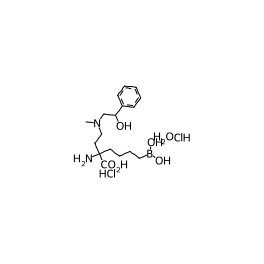 CN(CCC(N)(CCCCB(O)O)C(=O)O)CC(O)c1ccccc1.Cl.Cl.O